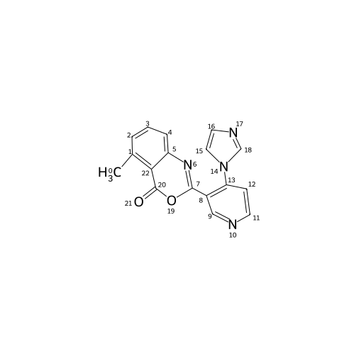 Cc1cccc2nc(-c3cnccc3-n3ccnc3)oc(=O)c12